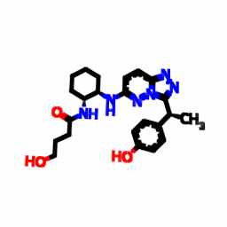 C[C@@H](c1ccc(O)cc1)c1nnc2ccc(N[C@@H]3CCCC[C@H]3NC(=O)CCCO)nn12